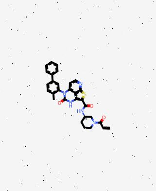 C=CC(=O)N1CCC[C@@H](NC(=O)c2sc3nccc4c3c2NC(=O)N4c2cc(-c3ccccc3)ccc2C)C1